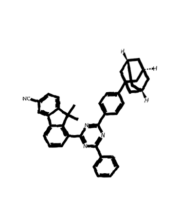 CC1(C)c2ccc(C#N)cc2-c2cccc(-c3nc(-c4ccccc4)nc(-c4ccc(C56C[C@H]7C[C@@H](C5)C[C@@H](C6)C7)cc4)n3)c21